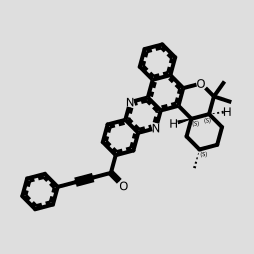 C[C@H]1CC[C@H]2[C@H](C1)c1c(c3ccccc3c3nc4ccc(C(=O)C#Cc5ccccc5)cc4nc13)OC2(C)C